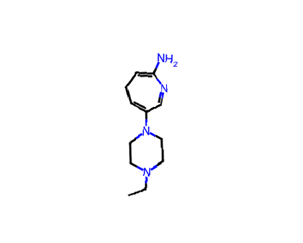 CCN1CCN(C2=CCC=C(N)N=C2)CC1